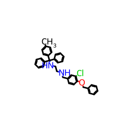 Cc1ccc(C(NCCNCc2ccc(OCc3ccccc3)c(Cl)c2)(c2ccccc2)c2ccccc2)cc1